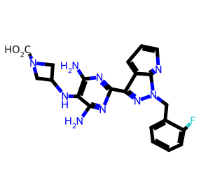 Nc1nc(-c2nn(Cc3ccccc3F)c3ncccc23)nc(N)c1NC1CN(C(=O)O)C1